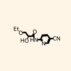 CCOC[C@H](O)C(=O)Nc1ccc(C#N)cn1